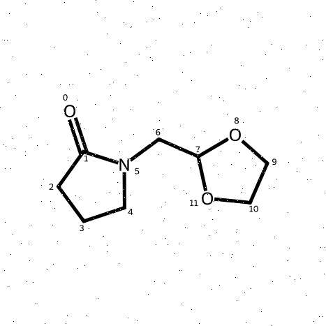 O=C1CCCN1CC1OCCO1